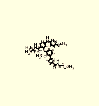 BC(B)(B)NC(=O)c1cnc(Nc2ccc(OC)nn2)cc1Nc1cccc(-c2csc(C(=O)NCCOC)n2)c1OC